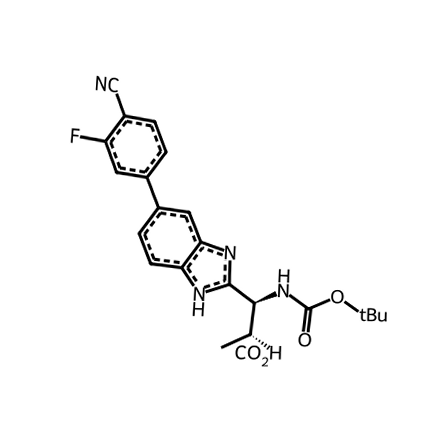 C[C@@H](C(=O)O)[C@H](NC(=O)OC(C)(C)C)c1nc2cc(-c3ccc(C#N)c(F)c3)ccc2[nH]1